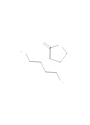 O=C1CCCO1.OCCCCO